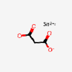 O=C([O-])CC(=O)[O-].[Sn+2]